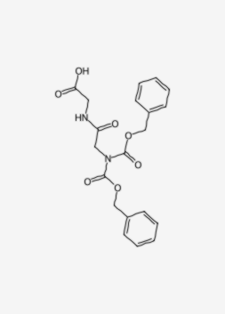 O=C(O)CNC(=O)CN(C(=O)OCc1ccccc1)C(=O)OCc1ccccc1